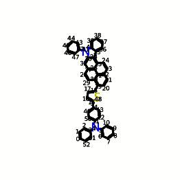 c1ccc(N(c2ccccc2)c2ccc(-c3ccc(-c4ccc5ccc6c7c(ccc4c57)cc4c6c5ccccc5n4-c4ccccc4)s3)cc2)cc1